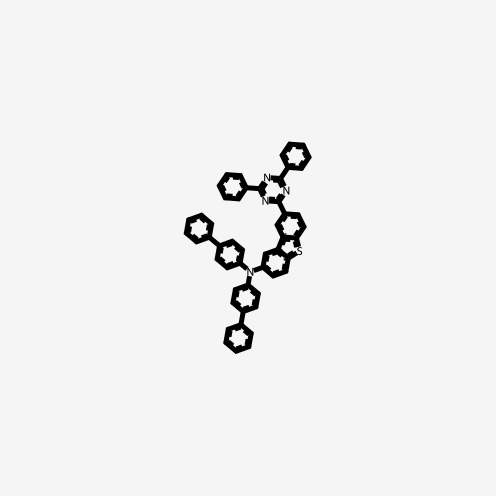 c1ccc(-c2ccc(N(c3ccc(-c4ccccc4)cc3)c3ccc4sc5ccc(-c6nc(-c7ccccc7)nc(-c7ccccc7)n6)cc5c4c3)cc2)cc1